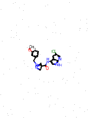 COc1cccc(Cn2cc(C(=O)Nc3c[nH]c4ncc(Cl)cc34)cn2)c1